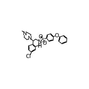 CN1CCN(C(CNS(=O)(=O)c2ccc(Oc3ccccc3)cc2)c2ccc(Cl)cc2F)CC1